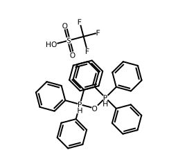 O=S(=O)(O)C(F)(F)F.c1ccc([PH](O[PH](c2ccccc2)(c2ccccc2)c2ccccc2)(c2ccccc2)c2ccccc2)cc1